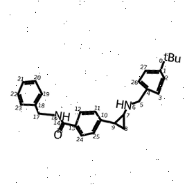 CC(C)(C)c1ccc(CNC2CC2c2ccc(C(=O)NCc3ccccc3)cc2)cc1